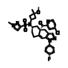 COC1(C)CC(N([C@H]2CCC3=Cc4c(cnn4-c4ccc(F)cc4)C[C@]3(C(=O)c3cc(Cl)ccn3)C2)S(=O)(=O)c2ccn(C)n2)C1